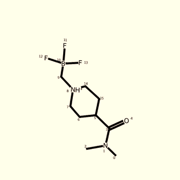 CN(C)C(=O)C1CC[NH+](C[B-](F)(F)F)CC1